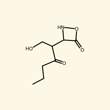 CCCC(=O)C(CO)C1NOC1=O